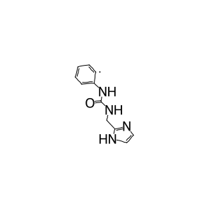 O=C(NCc1ncc[nH]1)Nc1[c]cccc1